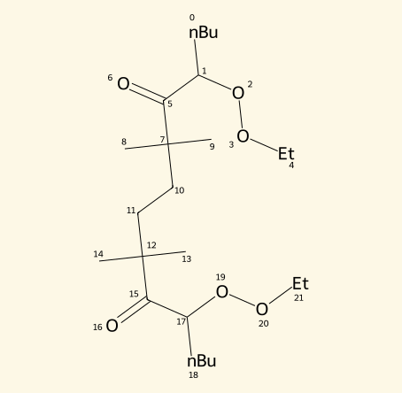 CCCCC(OOCC)C(=O)C(C)(C)CCC(C)(C)C(=O)C(CCCC)OOCC